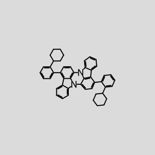 c1ccc(C2CCCCC2)c(-c2ccc3c4c2c2ccccc2n4c2ccc(-c4ccccc4C4CCCCC4)c4c5ccccc5n3c42)c1